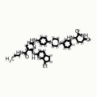 C=CCNC(=O)c1cnc(Nc2ccc(N3CCN(c4cccc(NC5CCC(=O)NC5=O)c4)CC3)cc2)nc1Nc1ccc2c(n1)C(CC)CC2